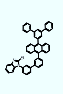 CCc1nc2ccccc2n1-c1cccc(-c2cccc(-c3c4ccccc4c(-c4cc(-c5ccccc5)cc(-c5ccccc5)c4)c4ccccc34)c2)c1